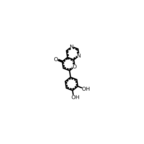 O=c1cc(-c2ccc(O)c(O)c2)oc2ncncc12